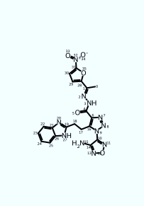 C/C(=N\NC(=O)c1nnn(-c2nonc2N)c1CCc1nc2ccccc2[nH]1)c1ccc([N+](=O)[O-])o1